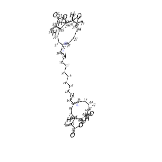 C=C1C(=O)O[C@H]2[C@H]1CC/C(C=NCCCCCCC/N=C/C1=C/CC[C@@]3(C)O[C@H]3[C@H]3OC(=O)C(=C)[C@@H]3CC1)=C\CC[C@@]1(C)O[C@@H]21